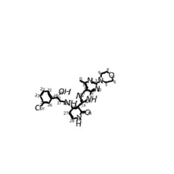 Cc1nc(N2CCOCC2)nc2[nH]c(-c3c(NC[C@@H](O)c4cccc(Cl)c4)cc[nH]c3=O)nc12